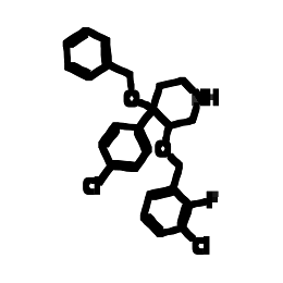 Fc1c(Cl)cccc1COC1CNCCC1(OCc1ccccc1)c1ccc(Cl)cc1